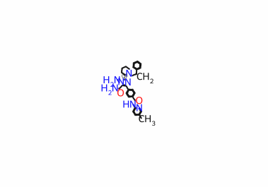 C=C(CN1CCCC[C@H]1c1nc(-c2ccc(C(=O)Nc3ccc(C)cn3)cc2)c(C(N)=O)n1N)c1ccccc1